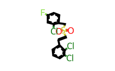 O=S(=O)(C=Cc1cccc(Cl)c1Cl)Cc1ccc(F)cc1Cl